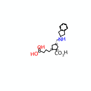 O=C(O)[C@@H]1C[C@@H](CNC2Cc3ccccc3C2)C[C@@H]1CCCB(O)O